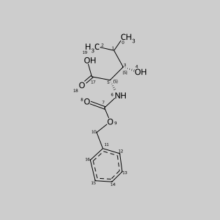 CC(C)[C@H](O)[C@H](NC(=O)OCc1ccccc1)C(=O)O